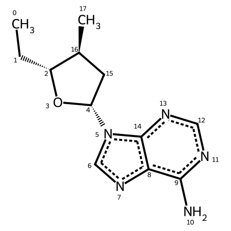 CC[C@H]1O[C@@H](n2cnc3c(N)ncnc32)C[C@@H]1C